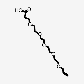 C=CCOCCOCCOCCOCCOCCC(=O)O